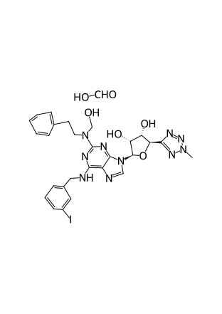 Cn1nnc([C@H]2O[C@@H](n3cnc4c(NCc5cccc(I)c5)nc(N(CO)CCc5ccccc5)nc43)[C@H](O)[C@@H]2O)n1.O=CO